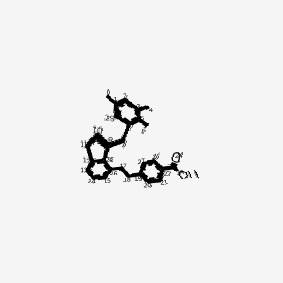 Cc1cc(C)c(C)c(CC2=CCc3cccc(CCc4ccc(C(=O)O)cc4)c32)c1